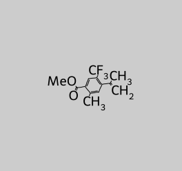 C=C(C)c1cc(C)c(C(=O)OC)cc1C(F)(F)F